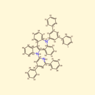 c1ccc(-c2cc(-c3ccccc3)cc(N3c4ccccc4-c4c(n(-c5cc(-c6ccccc6)cc(-c6ccccc6)n5)c5ccccc45)-c4ccccc43)c2)cc1